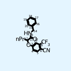 CCCC(Oc1ccc(C#N)c(C(F)(F)F)c1)C(=O)NCc1ccccc1